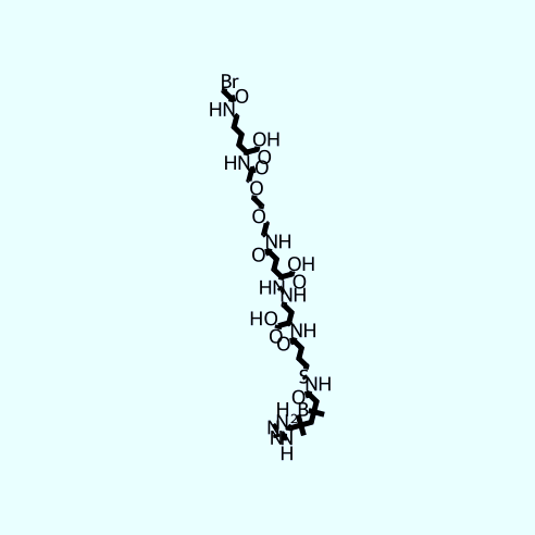 BC(C)(CC(=O)NSCCCC(=O)NC(CCNNC(CCC(=O)NCCOCCOCC(=O)NC(CCCCNC(=O)CBr)C(=O)O)C(=O)O)C(=O)O)CC(C)(C)c1nnn[nH]1